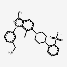 Cc1nn(-c2cccc(CN)c2)c2c(F)c(N3CCN(c4ccccc4S(C)(=O)=O)CC3)ccc12